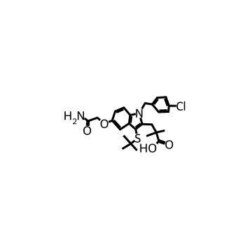 CC(C)(C)Sc1c(CC(C)(C)C(=O)O)n(Cc2ccc(Cl)cc2)c2ccc(OCC(N)=O)cc12